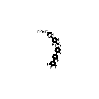 CCCCCc1cnc(-c2cc(F)c(C(F)(F)Oc3ccc(-c4ccc(-c5cc(F)c(F)c(F)c5)c(F)c4)c(F)c3)c(F)c2)nc1